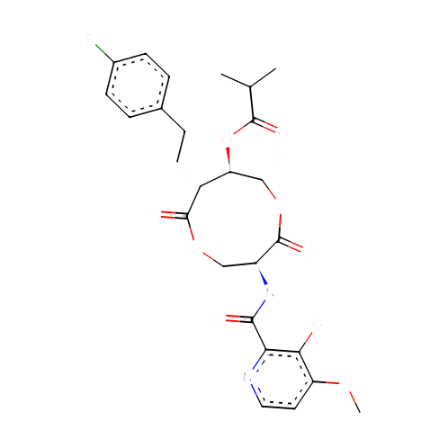 COc1ccnc(C(=O)N[C@H]2COC(=O)[C@H](CCc3ccc(F)cc3)[C@@H](OC(=O)C(C)C)[C@H](C)OC2=O)c1O